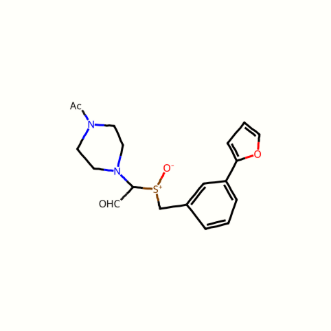 CC(=O)N1CCN(C(C=O)[S+]([O-])Cc2cccc(-c3ccco3)c2)CC1